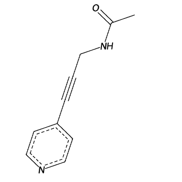 CC(=O)NCC#Cc1ccncc1